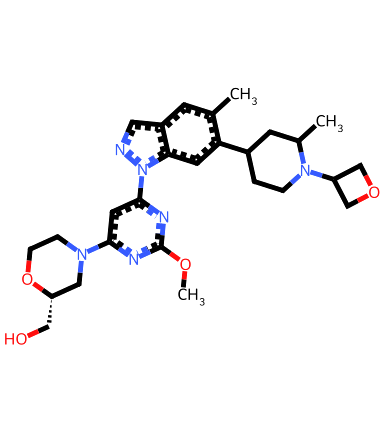 COc1nc(N2CCO[C@@H](CO)C2)cc(-n2ncc3cc(C)c(C4CCN(C5COC5)C(C)C4)cc32)n1